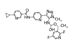 C[C@@H](OC(O)Nc1c(-c2ccc(NC(=O)c3ccc(C4CC4)nc3)cn2)nnn1C)c1cc(F)cnc1F